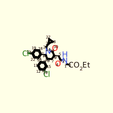 CCOC(=O)CNC(=O)C[C@H]1C[C@H](c2cccc(Cl)c2)[C@@H](c2ccc(Cl)cc2)N(CC2CC2)C1=O